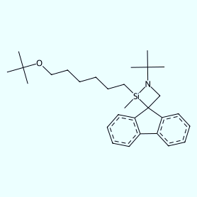 CC(C)(C)OCCCCCC[Si]1(C)N(C(C)(C)C)CC12c1ccccc1-c1ccccc12